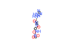 N#CN=C(NCCCC(=O)N1CCN(C(=O)c2cccc(NC(=O)/C=C/N3C(=O)C=CC3=O)c2)CC1)Nc1cccnc1